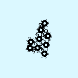 c1ccc(N2c3ccccc3B3c4cc5c(cc4N(c4ccccc4)c4c3c2cc2sc3ccccc3c42)Sc2cc3sc4ccccc4c3c3c2B5c2ccccc2O3)cc1